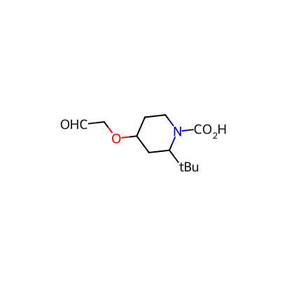 CC(C)(C)C1CC(OCC=O)CCN1C(=O)O